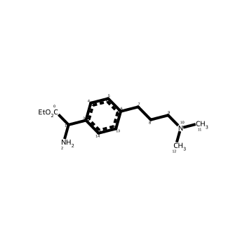 CCOC(=O)C(N)c1ccc(CCCN(C)C)cc1